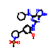 COc1cc(C2CCCN(S(C)(=O)=O)C2)ccc1Nc1nc(NC2CCCCC2)c2nc[nH]c2n1